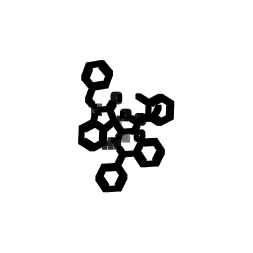 CCOC(=O)[C@@H](NC(c1ccccc1)c1ccccc1)[C@]1(OCc2ccccc2C)C(=O)N(Cc2ccccc2)c2ccccc21